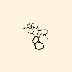 CC(C)[C@@H](C(=O)c1nc2ccccc2n1CC(F)F)C(C)(C)C